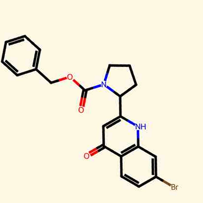 O=C(OCc1ccccc1)N1CCCC1c1cc(=O)c2ccc(Br)cc2[nH]1